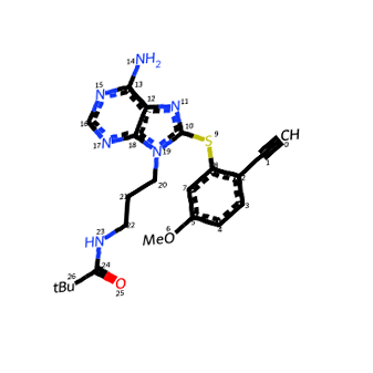 C#Cc1ccc(OC)cc1Sc1nc2c(N)ncnc2n1CCCNC(=O)C(C)(C)C